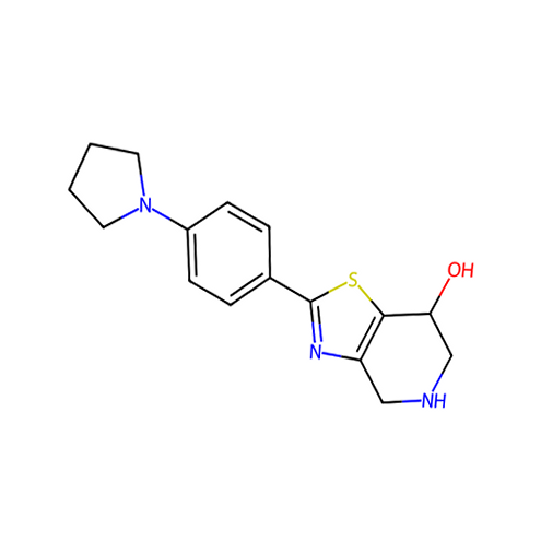 OC1CNCc2nc(-c3ccc(N4CCCC4)cc3)sc21